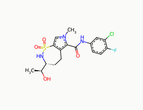 C[C@H](O)[C@H]1CCc2c(cn(C)c2C(=O)Nc2ccc(F)c(Cl)c2)S(=O)(=O)N1